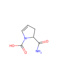 NC(=O)C1CC=CN1C(=O)O